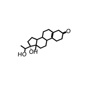 CC(O)[C@@]1(O)CCC2C3CCC4=C(CCC(=O)C4)C3CCC21C